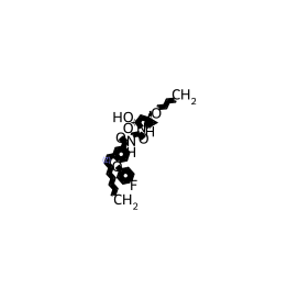 C=CCCCCC/C=C\c1cc(C(=O)NCC(=O)N2[C@H]3C[C@@]3(COCCCC=C)C[C@H]2C(=O)O)ccc1Oc1ccc(F)cc1